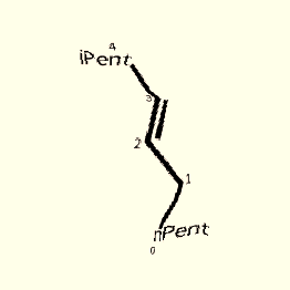 CCCCCC/C=C/C(C)CCC